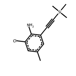 Cc1cc(Cl)c(N)c(C#C[Si](C)(C)C)c1